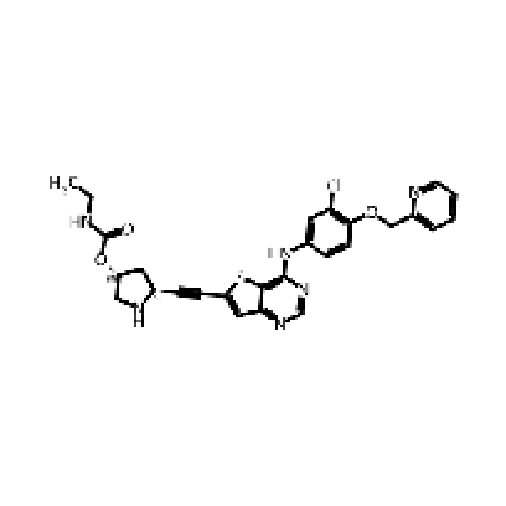 CCNC(=O)O[C@H]1CN[C@H](C#Cc2cc3ncnc(Nc4ccc(OCc5ccccn5)c(Cl)c4)c3s2)C1